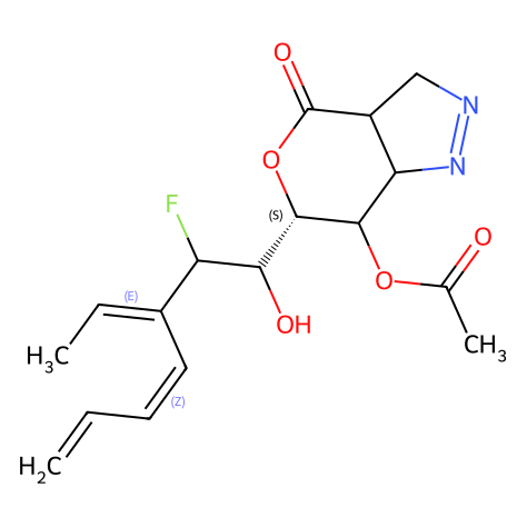 C=C/C=C\C(=C/C)C(F)C(O)[C@@H]1OC(=O)C2CN=NC2C1OC(C)=O